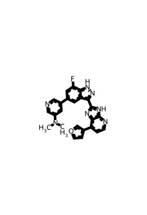 CN(C)c1cncc(-c2cc(F)c3[nH]nc(-c4nc5c(-c6ccoc6)ccnc5[nH]4)c3c2)c1